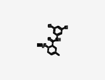 CC1=CCC(C(=O)O)C(C(=O)Nc2cc(Cl)cc(Cl)c2)C1